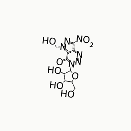 O=c1c2c(nnn1C1OC(CO)C(O)C1O)c([N+](=O)[O-])nn2CO